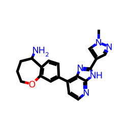 Cn1cc(-c2nc3c(-c4ccc5c(c4)OCCCC5N)ccnc3[nH]2)cn1